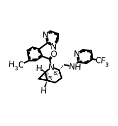 Cc1ccc(-c2ncccn2)c(C(=O)N2[C@H](CNc3cc(C(F)(F)F)ccn3)CC[C@@H]3C[C@@H]32)c1